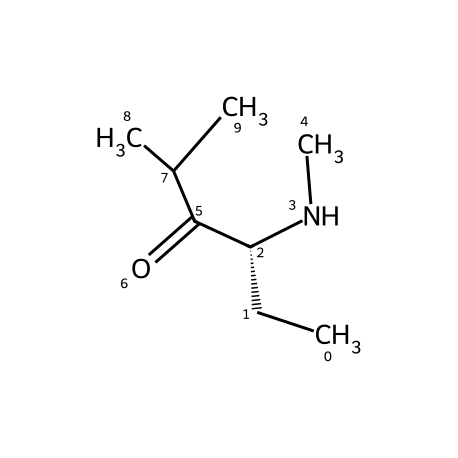 CC[C@@H](NC)C(=O)C(C)C